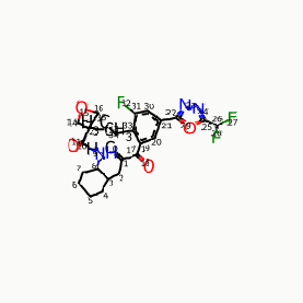 C=C(CC1CCCC[C@H]1NC(=O)C1(C)COC1)C(=O)c1cc(-c2nnc(C(F)F)o2)cc(F)c1CC